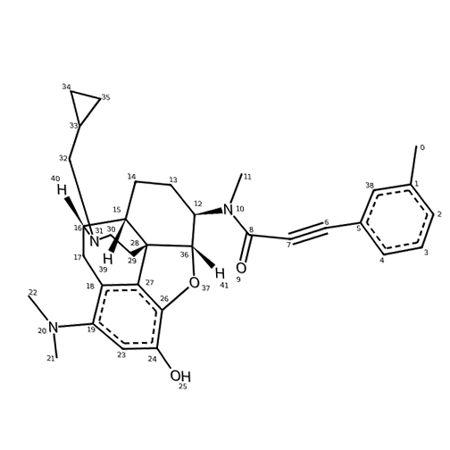 Cc1cccc(C#CC(=O)N(C)[C@@H]2CC[C@H]3[C@H]4Cc5c(N(C)C)cc(O)c6c5[C@@]3(CCN4CC3CC3)[C@H]2O6)c1